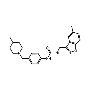 Cc1ccc2onc(CNC(=O)Nc3ccc(CN4CCC(C)CC4)cc3)c2c1